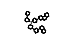 c1ccc(-c2cccc(N(c3ccc(-c4ccc5c(ccc6ccccc65)c4)cc3)c3cccc(-c4cccc(-c5cccc6ccccc56)c4)c3)c2)cc1